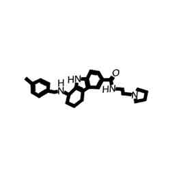 Cc1ccc(CNC2CCCc3c2[nH]c2ccc(C(=O)NCCN4CCCC4)cc32)cc1